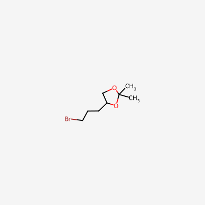 CC1(C)OCC(CCCBr)O1